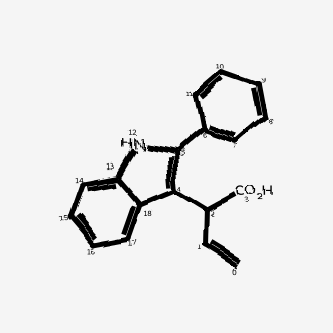 C=CC(C(=O)O)c1c(-c2ccccc2)[nH]c2ccccc12